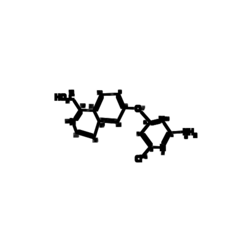 Nc1nc(Cl)cc(Oc2ccc3c(C(=O)O)nccc3c2)n1